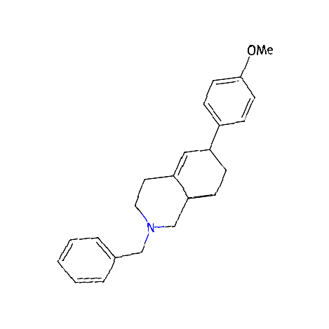 COc1ccc(C2C=C3CCN(Cc4ccccc4)CC3CC2)cc1